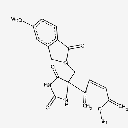 C=C(/C=C\C(=C)C1(CN2Cc3cc(OC)ccc3C2=O)NC(=O)NC1=O)OC(C)C